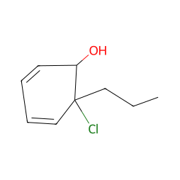 CCCC1(Cl)C=CC=CC1O